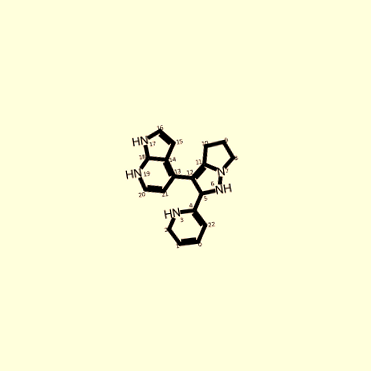 C1=CCNC(C2NN3CCCC3=C2C2=C3C=CNC3NC=C2)=C1